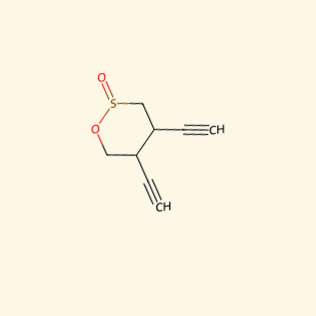 C#CC1COS(=O)CC1C#C